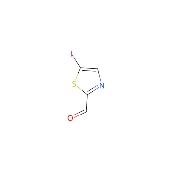 O=Cc1ncc(I)s1